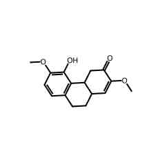 COC1=CC2CCc3ccc(OC)c(O)c3C2CC1=O